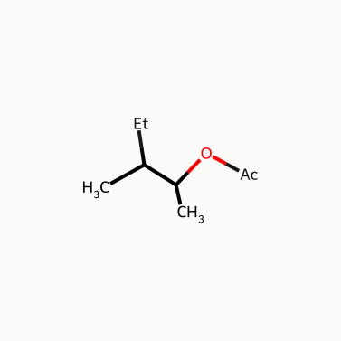 CCC(C)C(C)OC(C)=O